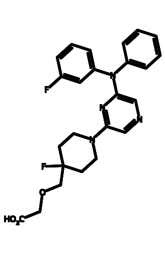 O=C(O)COCC1(F)CCN(c2cncc(N(c3ccccc3)c3cccc(F)c3)n2)CC1